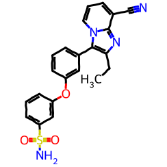 CCc1nc2c(C#N)cccn2c1-c1cccc(Oc2cccc(S(N)(=O)=O)c2)c1